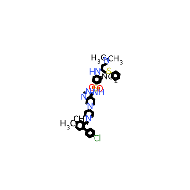 CN(C)CCC(CSc1ccccc1)Nc1ccc(S(=O)(=O)Nc2ncnc3c2CCN(C2CCN(CC4=C(c5ccc(Cl)cc5)CCC(C)(C)C4)CC2)C3)cc1[N+](=O)[O-]